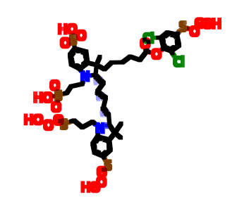 CC1(C)C(/C=C/C=C/C=C2\N(CCCS(=O)(=O)O)c3ccc(S(=O)(=O)O)cc3C2(C)CCCCCC(=O)Oc2c(Cl)cc(SOOO)cc2Cl)=[N+](CCCSOOO)c2ccc(SOOO)cc21